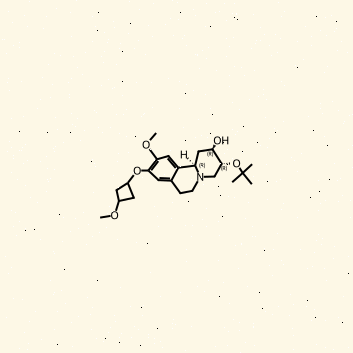 COc1cc2c(cc1OC1CC(OC)C1)CCN1C[C@@H](OC(C)(C)C)[C@H](O)C[C@H]21